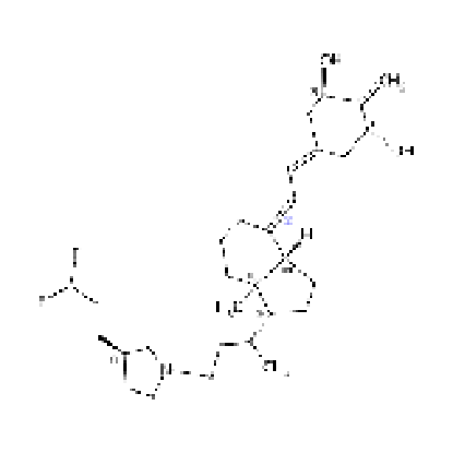 C=C1[C@H](O)CC(=C/C=C2\CCC[C@]3(C)[C@@H](C(C)CCN4CC[C@@H](CCC(F)F)C4)CC[C@@H]23)C[C@H]1O